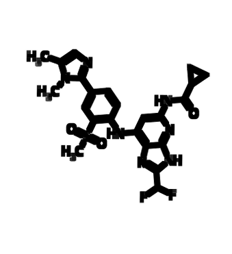 Cc1cnc(-c2ccc(Nc3cc(NC(=O)C4CC4)nc4[nH]c(C(F)F)nc34)c(S(C)(=O)=O)c2)n1C